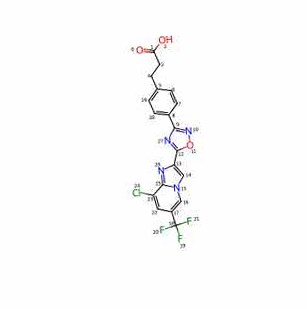 O=C(O)CCc1ccc(-c2noc(-c3cn4cc(C(F)(F)F)cc(Cl)c4n3)n2)cc1